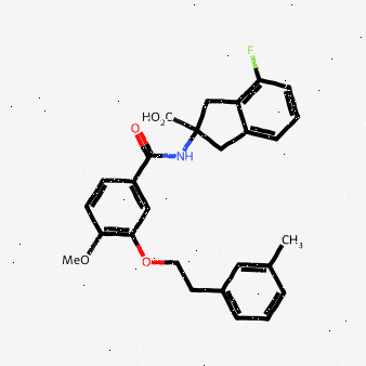 COc1ccc(C(=O)NC2(C(=O)O)Cc3cccc(F)c3C2)cc1OCCc1cccc(C)c1